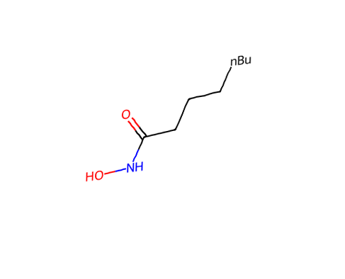 CCCCCCCC(=O)NO